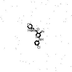 CC(C)c1cc(Nc2cccc(Cl)c2)ncc1C(=O)NCC1(O)CCOCC1